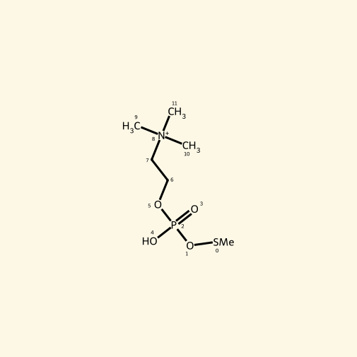 CSOP(=O)(O)OCC[N+](C)(C)C